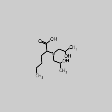 CCCCC(C(=O)O)N(CC(C)O)CC(C)O